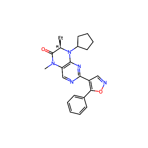 CC[C@@H]1C(=O)N(C)c2cnc(-c3cnoc3-c3ccccc3)nc2N1C1CCCC1